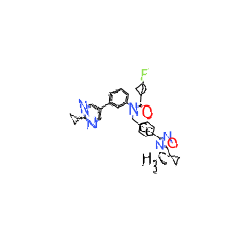 CC1(c2nc(C34CCC(CN(C(=O)C56CC(F)(C5)C6)c5cccc(-c6cnc(C7CC7)nc6)c5)(CC3)CC4)no2)CC1